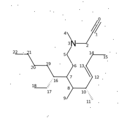 C#CCN(C)CCC(C(C)[C@@H](C)/C=C/CC)[C@H](CC)CCCC